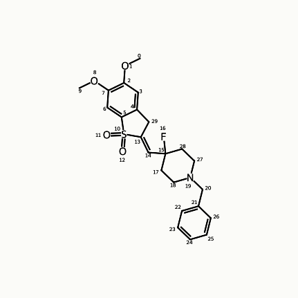 COc1cc2c(cc1OC)S(=O)(=O)/C(=C/C1(F)CCN(Cc3ccccc3)CC1)C2